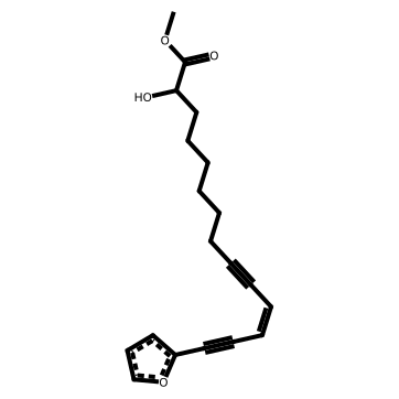 COC(=O)C(O)CCCCCCC#C/C=C\C#Cc1ccco1